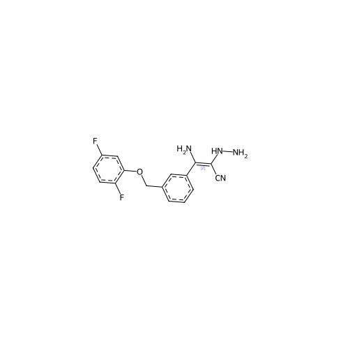 N#C/C(NN)=C(/N)c1cccc(COc2cc(F)ccc2F)c1